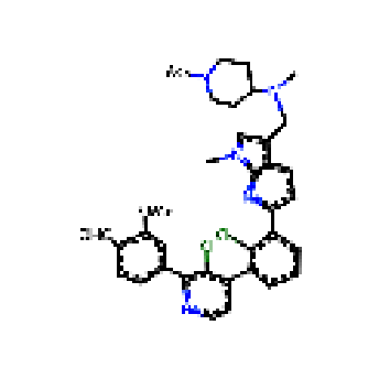 COc1cc(-c2nccc(-c3cccc(-c4ccc5c(CN(C)C6CCN(C(C)=O)CC6)cn(C)c5n4)c3Cl)c2Cl)ccc1C=O